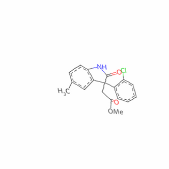 COC(=O)CC1(c2ccccc2Cl)C(=O)Nc2ccc(C)cc21